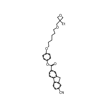 CCC1(COCCCCCCOc2ccc(OC(=O)c3ccc4c(c3)Cc3cc(C#N)ccc3-4)cc2)COC1